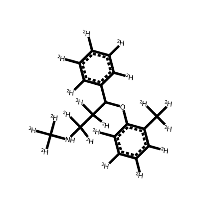 [2H]c1c([2H])c([2H])c(C(Oc2c([2H])c([2H])c([2H])c([2H])c2C([2H])([2H])[2H])C([2H])([2H])C([2H])([2H])NC([2H])([2H])[2H])c([2H])c1[2H]